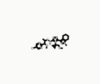 COCC1(n2c(NSC(C)C(OC)c3ncc(Cl)cn3)nnc2-c2nn(C)c3c2CCCC3)CC1